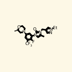 CCn1cc(Cn2c(C)cn(-c3cc(N4CCO[C@H](C)C4)cc(C(F)(F)F)c3F)c2=O)cn1